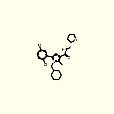 Cc1c(C(=O)NC[C@@H]2CCCO2)cc(-c2cc(Cl)ccc2Cl)n1CC1CCCCC1